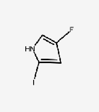 Fc1c[nH]c(I)c1